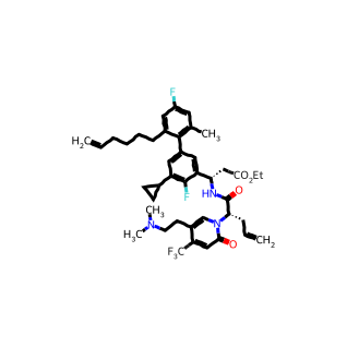 C=CCCCCc1cc(F)cc(C)c1-c1cc(C2CC2)c(F)c([C@H](CC(=O)OCC)NC(=O)[C@H](CC=C)n2cc(CCN(C)C)c(C(F)(F)F)cc2=O)c1